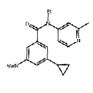 CCN(C(=O)c1cc(NC)cc(C2CC2)c1)c1ccnc(C)c1